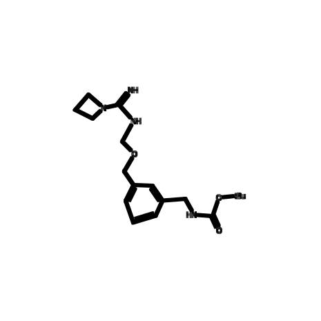 CC(C)(C)OC(=O)NCc1cccc(COCNC(=N)N2CCC2)c1